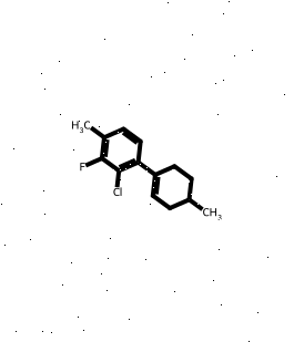 Cc1ccc(C2=CCC(C)CC2)c(Cl)c1F